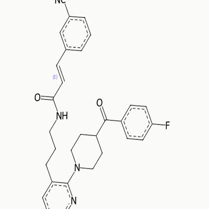 N#Cc1cccc(/C=C/C(=O)NCCCc2cccnc2N2CCC(C(=O)c3ccc(F)cc3)CC2)c1